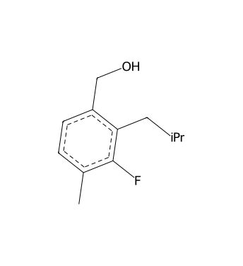 Cc1ccc(CO)c(CC(C)C)c1F